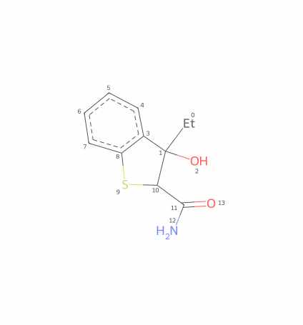 CCC1(O)c2ccccc2SC1C(N)=O